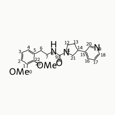 COc1cccc(CCNC(=O)N2CCC(c3cccnc3)C2)c1OC